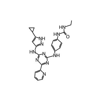 CCNC(=O)Nc1ccc(Nc2nc(Nc3cc(C4CC4)[nH]n3)nc(-c3ccccn3)n2)cc1